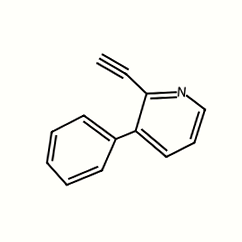 C#Cc1ncccc1-c1ccccc1